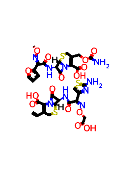 C=CC1=C(C(=O)O)N2C(=O)[C@@H](NC(=O)/C(=N\OCC(=O)O)c3csc(N)n3)[C@H]2SC1.CO/N=C(\C(=O)N[C@@H]1C(=O)N2C(C(=O)O)=C(COC(N)=O)CS[C@H]12)c1ccco1